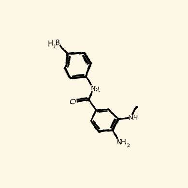 Bc1ccc(NC(=O)c2ccc(N)c(NC)c2)cc1